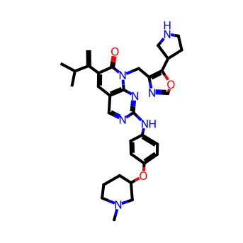 C=C(c1cc2cnc(Nc3ccc(OC4CCCN(C)C4)cc3)nc2n(Cc2ncoc2C2CCNC2)c1=O)C(C)C